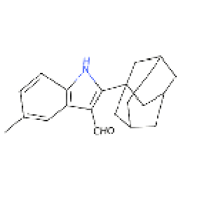 Cc1ccc2[nH]c(C34CC5CC(CC(C5)C3)C4)c(C=O)c2c1